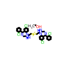 CCO.Clc1ccc2c(c1)C(c1ccccc1Cl)=NCc1nnc(CSSCc3nnc4n3-c3ccc(Cl)cc3C(c3ccccc3Cl)=NC4)n1-2